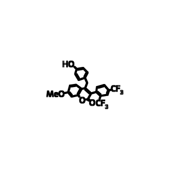 COc1ccc2c(Cc3ccc(O)cc3)c(-c3ccc(C(F)(F)F)cc3C(F)(F)F)c(=O)oc2c1